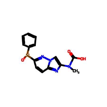 CN(C(=O)O)c1cn2nc([S+]([O-])c3ccccc3)ccc2n1